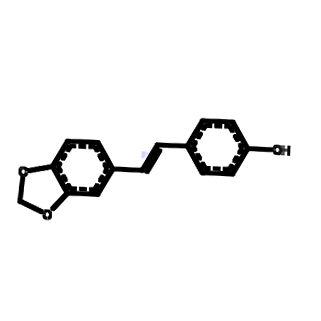 Oc1ccc(/C=C/c2ccc3c(c2)OCO3)cc1